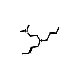 C/C=C/CN(C/C=C/C)CCN(C)C